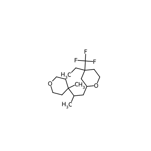 CCC1(C(F)(F)F)CCOC(CC(C)C2(C)CCOCC2)C1